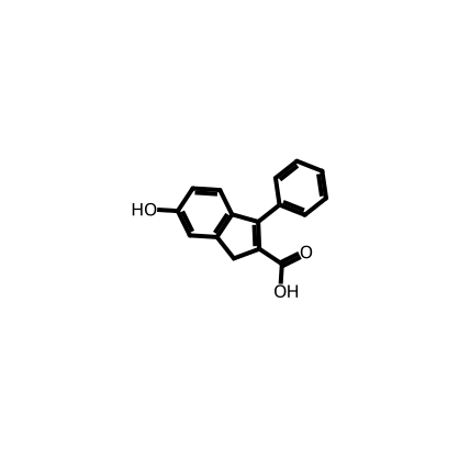 O=C(O)C1=C(c2ccccc2)c2ccc(O)cc2C1